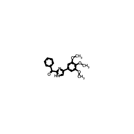 COc1cc(-c2c[nH]c(C(=O)c3ccccc3)n2)cc(OC)c1OC